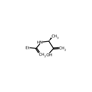 C=C(CC)N[C@@H](C)C(=C)O